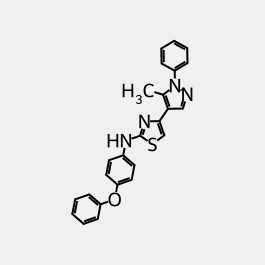 Cc1c(-c2csc(Nc3ccc(Oc4ccccc4)cc3)n2)cnn1-c1ccccc1